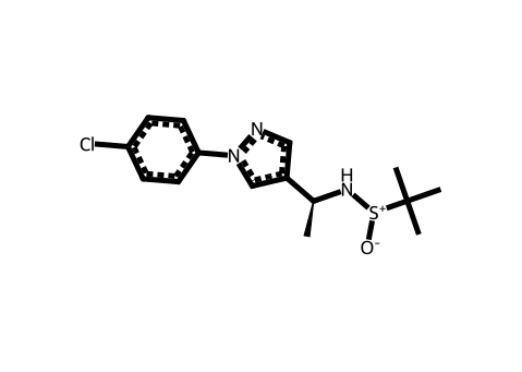 C[C@H](N[S+]([O-])C(C)(C)C)c1cnn(-c2ccc(Cl)cc2)c1